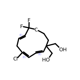 OCC1(CO)/C=C/C=C(/Cl)C/C=C/C(F)(F)CCC1